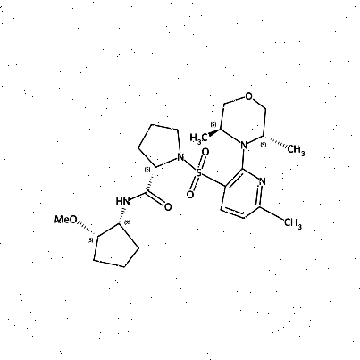 CO[C@H]1CCC[C@H]1NC(=O)[C@@H]1CCCN1S(=O)(=O)c1ccc(C)nc1N1[C@@H](C)COC[C@@H]1C